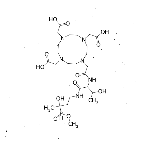 CO[PH](=O)C(C)(O)CCNC(=O)C(NC(=O)CN1CCN(CC(=O)O)CCN(CC(=O)O)CCN(CC(=O)O)CC1)C(C)O